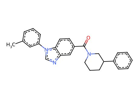 Cc1cccc(-n2cnc3cc(C(=O)N4CCCC(c5ccccc5)C4)ccc32)c1